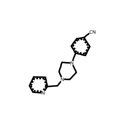 N#Cc1ccc(N2CCN(Cc3ccccn3)CC2)cc1